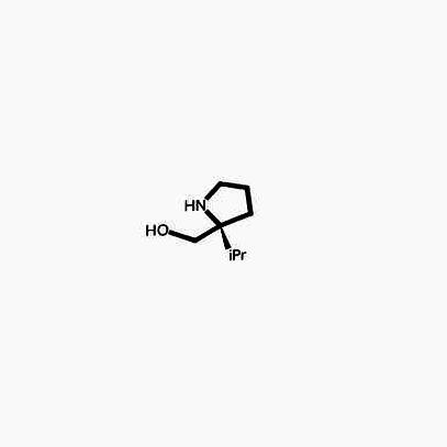 CC(C)[C@]1(CO)CCCN1